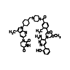 Cc1cc(C(=O)N2CCN(CC3CCC(n4cc(C)c5cc(N6CCC(=O)NC6=O)cnc54)CC3)CC2)ccc1[C@@H]1CN(c2cc(-c3ccccc3O)nnc2N)C[C@H](C)O1